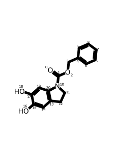 O=C(OCc1ccccc1)N1CCc2cc(O)c(O)cc21